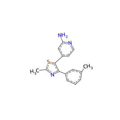 Cc1cccc(-c2nc(C)sc2-c2ccnc(N)c2)c1